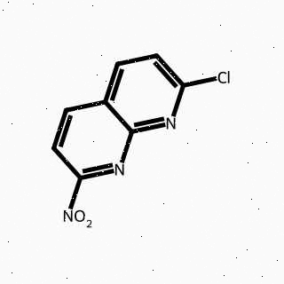 O=[N+]([O-])c1ccc2ccc(Cl)nc2n1